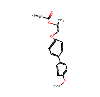 CCCCCCCCOc1ccc(-c2ccc(OCC(C)OC(=O)CCCCCCC)cc2)cc1